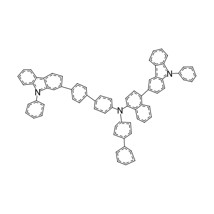 c1ccc(-c2ccc(N(c3ccc(-c4ccc(-c5ccc6c7ccccc7n(-c7ccccc7)c6c5)cc4)cc3)c3ccc(-c4ccc5c(c4)c4ccccc4n5-c4ccccc4)c4ccccc34)cc2)cc1